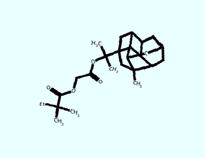 CCC(C)(C)C(=O)OCC(=O)OC(C)(C)C12CC3C4CC5CC3C(C)(C1)C(C5)C4C2